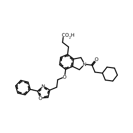 O=C(O)CCc1ccc(OCCc2coc(-c3ccccc3)n2)c2c1CN(C(=O)CC1CCCCC1)C2